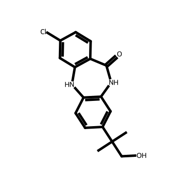 CC(C)(CO)c1ccc2c(c1)NC(=O)c1ccc(Cl)cc1N2